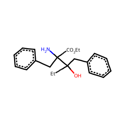 CCOC(=O)C(N)(Cc1ccccc1)C(O)(CC)Cc1ccccc1